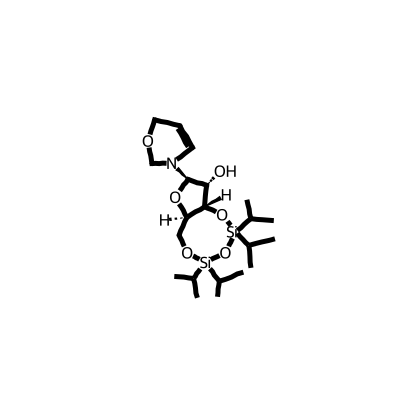 CC(C)[Si]1(C(C)C)OC[C@H]2O[C@@H](N3C=CCOC3)[C@H](O)[C@@H]2O[Si](C(C)C)(C(C)C)O1